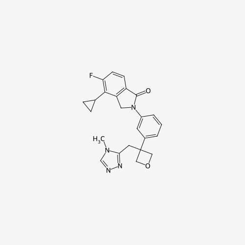 Cn1cnnc1CC1(c2cccc(N3Cc4c(ccc(F)c4C4CC4)C3=O)c2)COC1